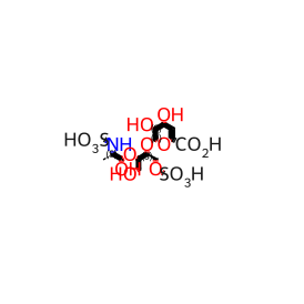 C[C@H](NS(=O)(=O)O)C(O)OC(CO)[C@H](COS(=O)(=O)O)O[C@@H]1OC(C(=O)O)=CC(O)[C@@H]1O